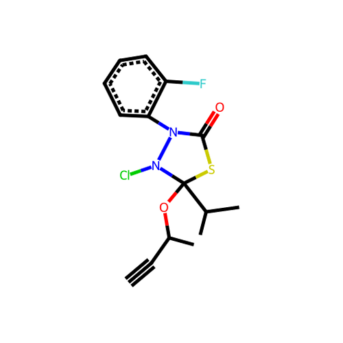 C#CC(C)OC1(C(C)C)SC(=O)N(c2ccccc2F)N1Cl